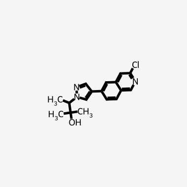 CC(n1cc(-c2ccc3cnc(Cl)cc3c2)cn1)C(C)(C)O